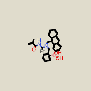 C=C(C)C(=O)NC(CC)N(Cc1ccccc1B(O)O)Cc1c2ccccc2cc2ccccc12